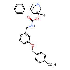 O=C(NCc1cccc(OCc2ccc(C(=O)O)cc2)c1)O[C@H]1CN2CCC1C(c1ccccc1)C2